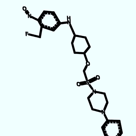 O=Nc1ccc(NC2CCC(OCS(=O)(=O)N3CCN(c4ccccc4)CC3)CC2)cc1CF